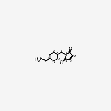 NCC1CCC(CN2C(=O)C=CC2=O)CC1